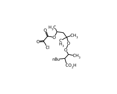 CCCCC(C(=O)O)C(C)OOC(C)(C)CC(C)OC(=O)C(=O)Cl